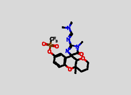 CN(C)/C=N/C1=NC2(C(=O)N1C)c1cc(OS(=O)(=O)C(F)(F)F)ccc1OC1(C)CCCOC12